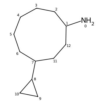 NC1CCCCCC(C2CC2)CC1